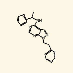 CC(Nc1ncnc2c1cnn2CCc1ccccc1)c1ccccc1